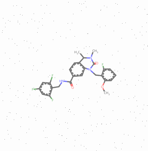 COc1cccc(F)c1CN1C(=O)N(C)C(C)c2ccc(C(=O)NCc3c(F)cc(F)cc3F)cc21